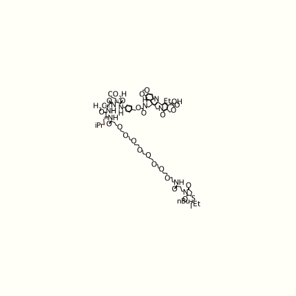 CCCCC(I)(CC)SC1CC(=O)N(CCC(=O)NCCOCCOCCOCCOCCOCCOCCOCCOCCC(=O)N[C@H](CCC(C)C)C(=O)N[C@@H](C)C(=O)N[C@@H](CCC(=O)O)C(=O)Nc2ccc(COC(=O)NCc3c4c(nc5cc6c(cc35)OCO6)-c3cc5c(c(=O)n3C4)COC(=O)[C@]5(O)CC)cc2)C1=O